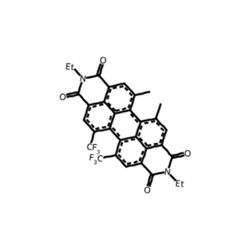 CCN1C(=O)c2cc(C)c3c4c(C)cc5c6c(cc(C(F)(F)F)c(c7c(C(F)(F)F)cc(c2c37)C1=O)c64)C(=O)N(CC)C5=O